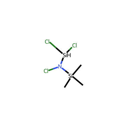 C[Si](C)(C)N(Cl)[SiH](Cl)Cl